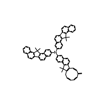 C=C1/C=C\C=C/CC2=C(/C=C\1)c1ccc3cc(N(c4ccc5c6c(ccc5c4)-c4ccc5ccccc5c4C6(C)C)c4ccc5c6c(ccc5c4)-c4ccc5ccccc5c4C6(C)C)ccc3c1C2(C)C